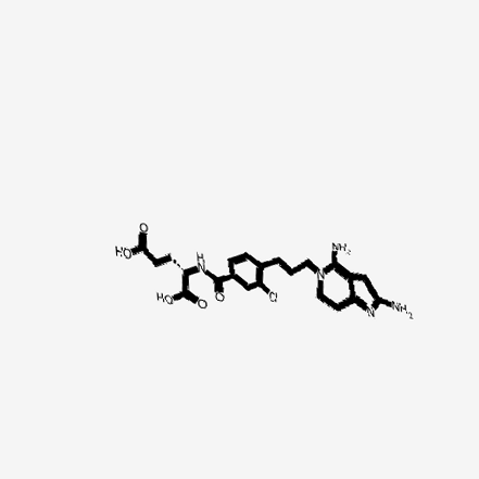 NC1=CC2=C(N)N(CCCc3ccc(C(=O)N[C@@H](CCC(=O)O)C(=O)O)cc3Cl)CCC2=N1